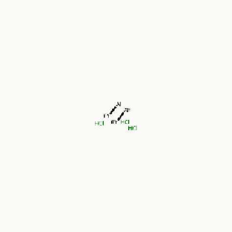 C[CH](C)[Al].C[CH](C)[Al].Cl.Cl.Cl